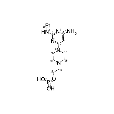 CCNc1nc(N)cc(N2CCN(CCOP(O)O)CC2)n1